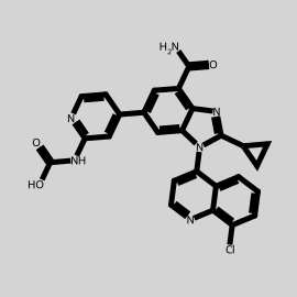 NC(=O)c1cc(-c2ccnc(NC(=O)O)c2)cc2c1nc(C1CC1)n2-c1ccnc2c(Cl)cccc12